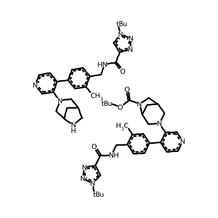 Cc1cc(-c2ccncc2N2CC3CC(C2)N(C(=O)OC(C)(C)C)C3)ccc1CNC(=O)c1cn(C(C)(C)C)nn1.Cc1cc(-c2ccncc2N2CC3CNC(C3)C2)ccc1CNC(=O)c1cn(C(C)(C)C)nn1